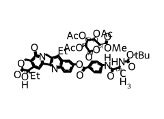 CCc1c2c(nc3ccc(OC(=O)c4ccc(NC(=O)[C@H](C)NC(=O)OC(C)(C)C)cc4O[C@@H]4O[C@H](C(=O)OC)[C@@H](OC(C)=O)[C@H](OC(C)=O)[C@H]4OC(C)=O)cc13)-c1cc3c(c(=O)n1C2)COC(=O)[C@]3(O)CC